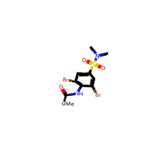 COC(=O)Nc1c(Br)cc(S(=O)(=O)N(C)C)cc1Br